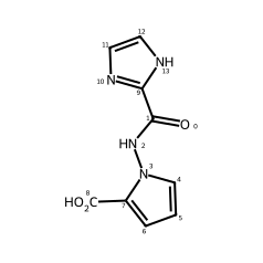 O=C(Nn1cccc1C(=O)O)c1ncc[nH]1